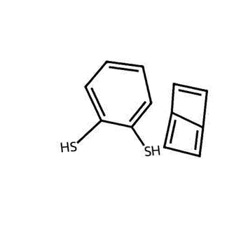 Sc1ccccc1S.c1cc2ccc1-2